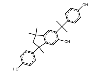 CC1(C)CC(C)(c2ccc(O)cc2)c2cc(O)c(C(C)(C)c3ccc(O)cc3)cc21